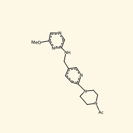 COc1cncc(NCc2ccc(N3CCN(C(C)=O)CC3)nc2)n1